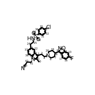 Cc1c(CCN2CCC(c3noc4cc(F)ccc34)CC2)c2cc(CCNS(=O)(=O)c3ccc(Cl)cc3)ccc2n1CCC#N